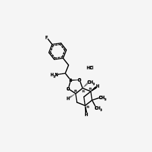 CC1(C)[C@@H]2C[C@H]3OB(C(N)Cc4ccc(F)cc4)O[C@@]3(C)[C@H]1C2.Cl